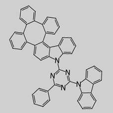 c1ccc(-c2nc(-n3c4ccccc4c4ccccc43)nc(-n3c4ccccc4c4c5c(ccc43)-c3ccccc3-c3ccccc3-c3ccccc3-5)n2)cc1